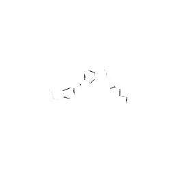 CCC(C)Oc1ccc(C(C)(C)c2ccc(OC(C)COC(=O)/C=C/C=O)cc2)cc1